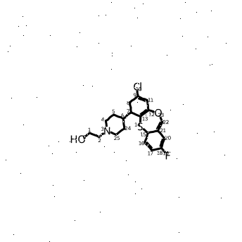 OCCN1CCC(C2CC(Cl)=CC3=C2SC2C=CC(F)=CC2=CO3)CC1